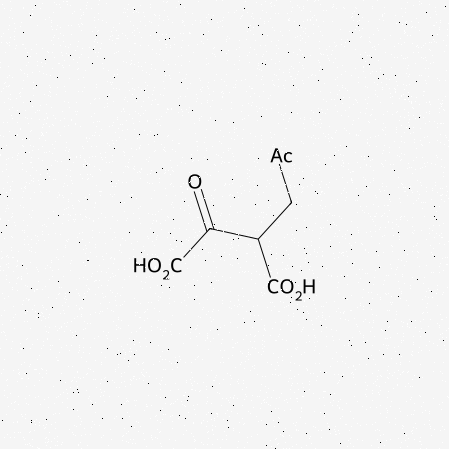 CC(=O)CC(C(=O)O)C(=O)C(=O)O